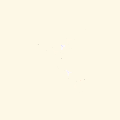 CCCCOc1ccc(-c2cccc(N3CC(C(=O)OC)C3)c2)c(OCCCC)n1